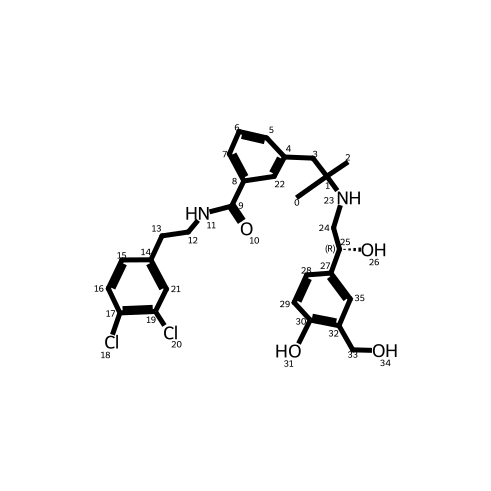 CC(C)(Cc1cccc(C(=O)NCCc2ccc(Cl)c(Cl)c2)c1)NC[C@H](O)c1ccc(O)c(CO)c1